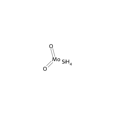 [O]=[Mo]=[O].[SiH4]